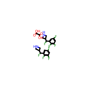 Fc1cc(F)c(F)c(C(F)C2CNC2)c1.Fc1cc(F)c(F)c(C(F)C2CNC2)c1.O=C(O)C(=O)O